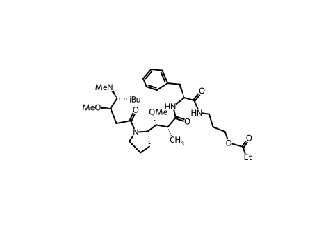 CCC(=O)OCCCNC(=O)[C@H](Cc1ccccc1)NC(=O)[C@H](C)[C@@H](OC)[C@@H]1CCCN1C(=O)C[C@@H](OC)[C@@H](NC)[C@@H](C)CC